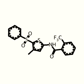 Cc1cc(NC(=O)c2ccccc2C(F)(F)F)sc1S(=O)(=O)c1ccccc1